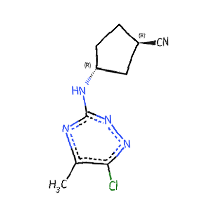 Cc1nc(N[C@@H]2CC[C@@H](C#N)C2)nnc1Cl